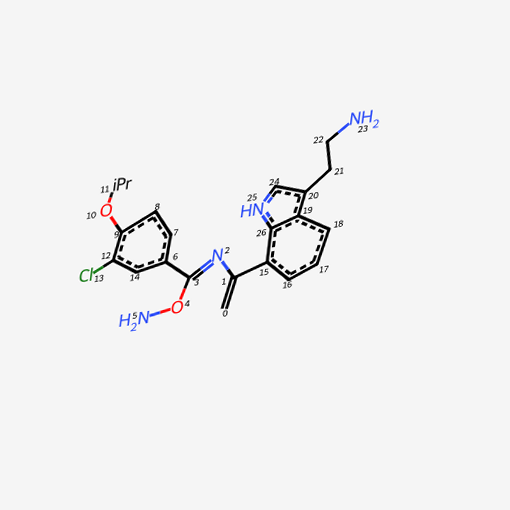 C=C(/N=C(\ON)c1ccc(OC(C)C)c(Cl)c1)c1cccc2c(CCN)c[nH]c12